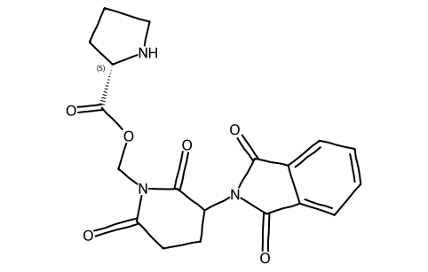 O=C(OCN1C(=O)CCC(N2C(=O)c3ccccc3C2=O)C1=O)[C@@H]1CCCN1